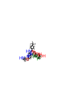 CC(C)(C)c1ccc(C(=O)Nc2cn3nc(OC4CCNC4)ccc3n2)cc1.O=C(O)C(F)(F)F.O=C(O)C(F)(F)F